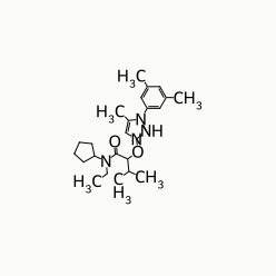 CCN(C(=O)C(ON1C=C(C)N(c2cc(C)cc(C)c2)N1)C(C)C)C1CCCC1